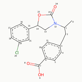 CC(Cc1ccc(C(=O)O)cc1)N1CC(c2cccc(Cl)c2)OC1=O